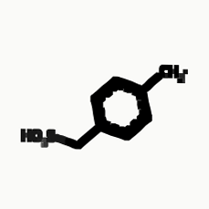 [CH2]c1ccc(CS(=O)(=O)O)cc1